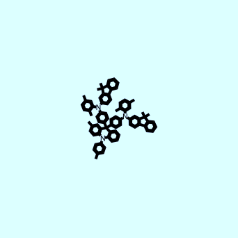 Cc1ccc(N2c3ccccc3C(c3ccc(N(c4ccc5c(c4)C(C)(C)c4ccccc4-5)c4cc(C)ccc4C)cc3)(c3ccc(N(c4ccc5c(c4)C(C)(C)c4ccccc4-5)c4cc(C)ccc4C)cc3)c3cc(C)ccc32)cc1